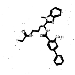 Cn1c(C(CCCNC(=N)CF)NC(=O)c2ccc(-c3ccccc3)cc2C(=O)O)nc2ccccc21